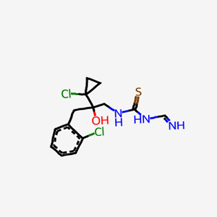 N=CNC(=S)NCC(O)(Cc1ccccc1Cl)C1(Cl)CC1